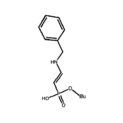 CCC(C)OP(=O)(O)C=CNCc1ccccc1